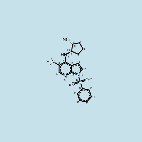 N#C[C@@H]1CCC[C@H]1Nc1c(N)cnc2c1ccn2S(=O)(=O)c1ccccc1